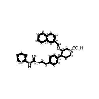 O=C(Nc1ccccn1)OCCc1ccc(C2CCN(C(=O)O)CC2OCc2ccc3ccccc3c2)cc1